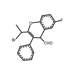 CC(Br)C1=C(c2ccccc2)C(C=O)c2cc(F)ccc2O1